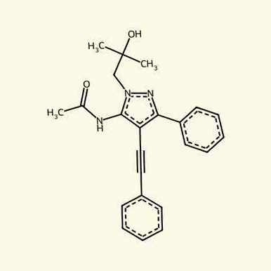 CC(=O)Nc1c(C#Cc2ccccc2)c(-c2ccccc2)nn1CC(C)(C)O